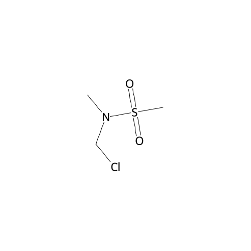 CN(CCl)S(C)(=O)=O